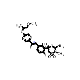 COCC(C)Oc1cnc(/C(F)=C/c2ccc(F)c(C3(C)CS(=O)(=O)N(C)C(N)=N3)c2)cn1